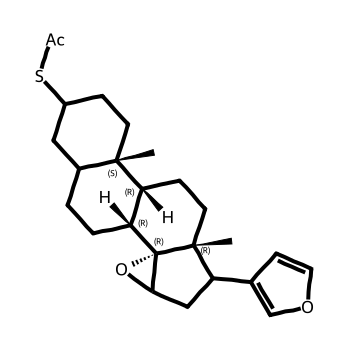 CC(=O)SC1CC[C@@]2(C)C(CC[C@@H]3[C@H]2CC[C@]2(C)C(c4ccoc4)CC4O[C@]432)C1